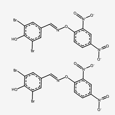 O=[N+]([O-])c1ccc(O/N=C/c2cc(Br)c(O)c(Br)c2)c([N+](=O)[O-])c1.O=[N+]([O-])c1ccc(O/N=C/c2cc(Br)c(O)c(Br)c2)c([N+](=O)[O-])c1